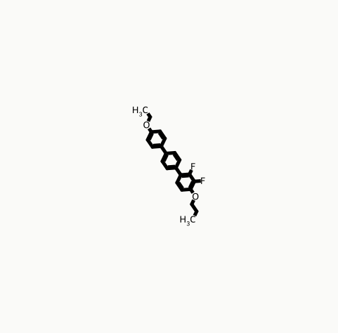 CCCOc1ccc(-c2ccc(-c3ccc(OCC)cc3)cc2)c(F)c1F